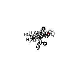 C#CCOC(C)(C)C(=O)OCN(C(=O)[C@H](CCc1ccccc1)NC(=O)CN1CCOCC1)[C@@H](CC(C)C)C(=O)N[C@@H](Cc1ccccc1)C(=O)N[C@@H](CC(C)C)C(=O)[C@]1(C)CO1